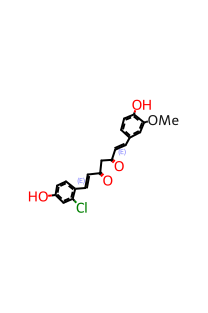 COc1cc(/C=C/C(=O)CC(=O)/C=C/c2ccc(O)cc2Cl)ccc1O